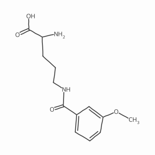 COc1cccc(C(=O)NCCCC(N)C(=O)O)c1